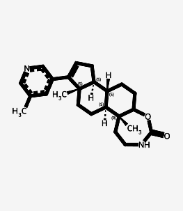 Cc1cncc(C2=CC[C@H]3[C@@H]4CCC5OC(=O)NCC[C@]5(C)[C@H]4CC[C@]23C)c1